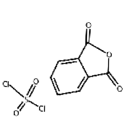 O=C1OC(=O)c2ccccc21.O=S(=O)(Cl)Cl